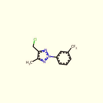 Cc1nn(-c2cccc(C(F)(F)F)c2)nc1CCl